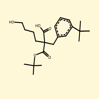 CC(C)(C)OC(=O)C(CCCCO)(Cc1cccc(C(C)(C)C)c1)C(=O)O